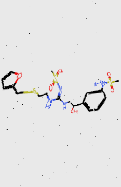 CS(=O)(=O)N=C(NCCSCc1ccco1)NCC(O)c1cccc(NS(C)(=O)=O)c1